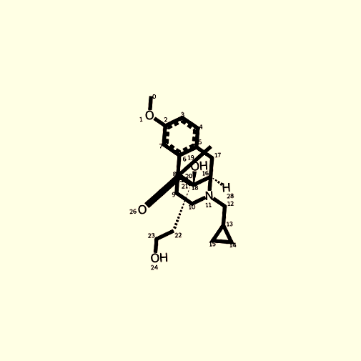 COc1ccc2c(c1)C13CCN(CC4CC4)[C@H](C2)[C@]1(O)C[C@H](CCO)C(=O)C3